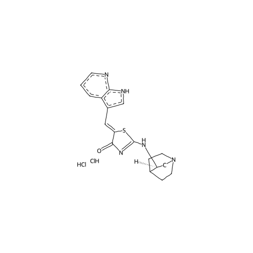 Cl.Cl.O=C1N=C(N[C@H]2CN3CCC2CC3)SC1=Cc1c[nH]c2ncccc12